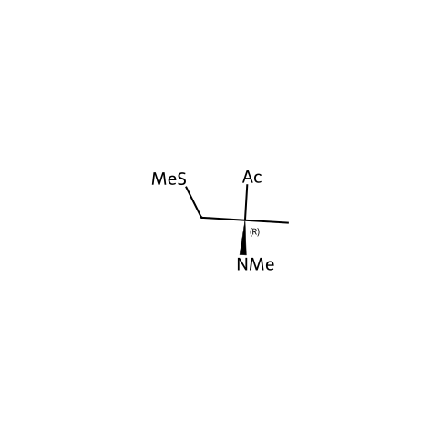 CN[C@@](C)(CSC)C(C)=O